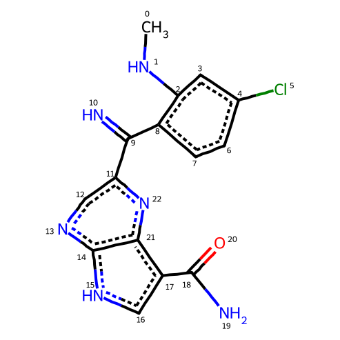 CNc1cc(Cl)ccc1C(=N)c1cnc2[nH]cc(C(N)=O)c2n1